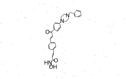 O=C(/C=C/c1ccc(/C=C/C(=O)c2ccc(N3CCN(Cc4ccccc4)CC3)cc2)cc1)NO